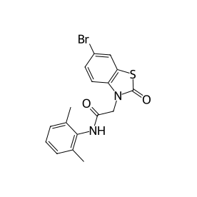 Cc1cccc(C)c1NC(=O)Cn1c(=O)sc2cc(Br)ccc21